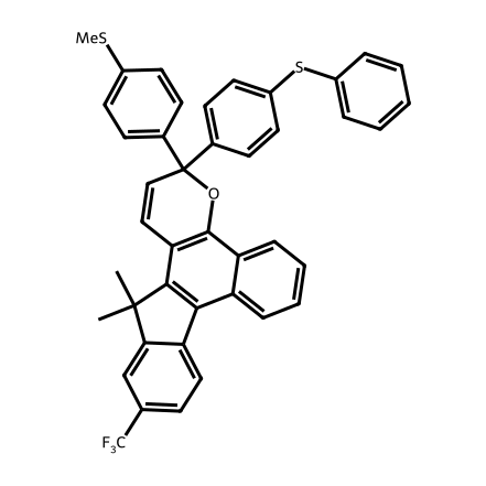 CSc1ccc(C2(c3ccc(Sc4ccccc4)cc3)C=Cc3c4c(c5ccccc5c3O2)-c2ccc(C(F)(F)F)cc2C4(C)C)cc1